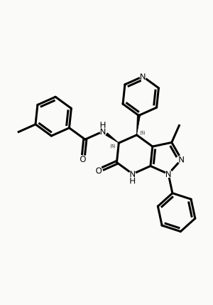 Cc1cccc(C(=O)N[C@@H]2C(=O)Nc3c(c(C)nn3-c3ccccc3)[C@@H]2c2ccncc2)c1